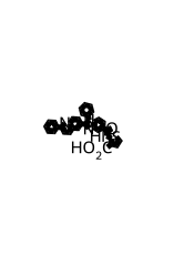 O=C(Nc1sccc1C(=O)O)c1ccc2c(c1)nc(-c1ccc3nc(-c4ccccc4)ccc3c1)n2C1CCCCC1